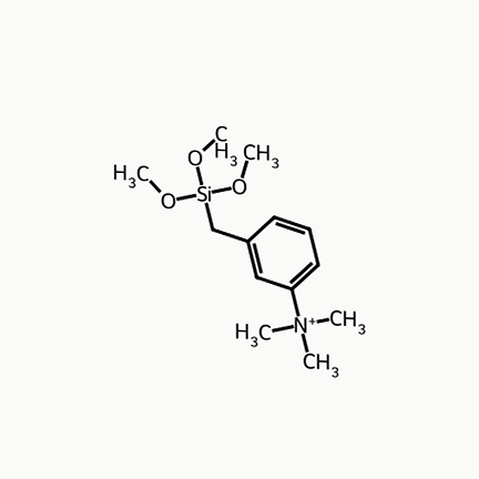 CO[Si](Cc1cccc([N+](C)(C)C)c1)(OC)OC